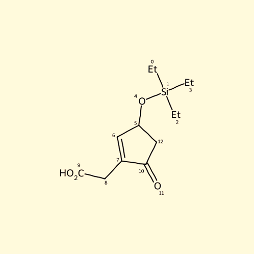 CC[Si](CC)(CC)OC1C=C(CC(=O)O)C(=O)C1